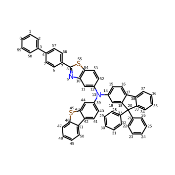 c1ccc(-c2ccc(-c3nc4cc(N(c5ccc6c(c5)C(c5ccccc5)(c5ccccc5)c5ccccc5-6)c5ccc6c(c5)sc5ccccc56)ccc4s3)cc2)cc1